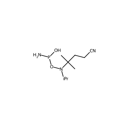 CC(C)N(OP(N)O)C(C)(C)CCC#N